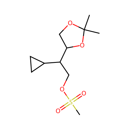 CC1(C)OCC(C(COS(C)(=O)=O)C2CC2)O1